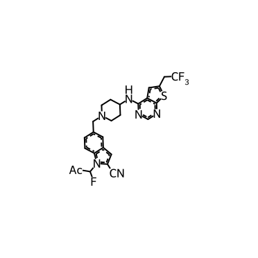 CC(=O)C(F)n1c(C#N)cc2cc(CN3CCC(Nc4ncnc5sc(CC(F)(F)F)cc45)CC3)ccc21